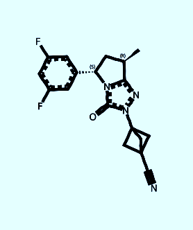 C[C@@H]1C[C@@H](c2cc(F)cc(F)c2)n2c1nn(C13CC(C#N)(C1)C3)c2=O